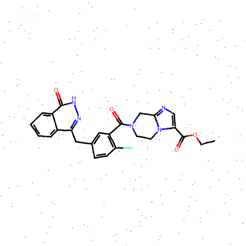 CCOC(=O)c1cnc2n1CCN(C(=O)c1cc(Cc3n[nH]c(=O)c4ccccc34)ccc1F)C2